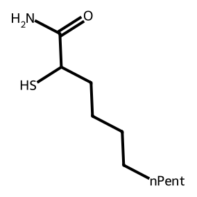 CCCCCCCCCC(S)C(N)=O